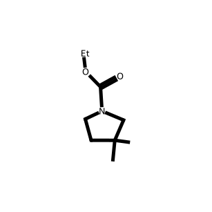 CCOC(=O)N1CCC(C)(C)C1